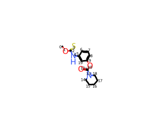 COC(=S)Nc1cccc(OC(=O)N2CCCCC2)c1